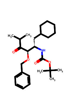 CC(C)C(=O)[C@H](OCc1ccccc1)[C@H](CC1CCCCC1)NC(=O)OC(C)(C)C